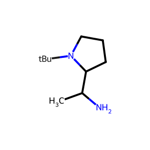 CC(N)C1CCCN1C(C)(C)C